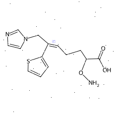 NOC(CC/C=C(/Cn1ccnc1)c1cccs1)C(=O)O